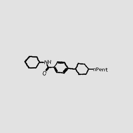 CCCCCC1CCC(c2ccc(C(=O)NC3CCCCC3)cc2)CC1